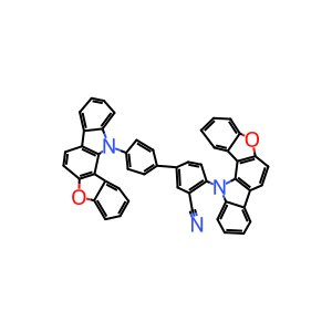 N#Cc1cc(-c2ccc(-n3c4ccccc4c4ccc5oc6ccccc6c5c43)cc2)ccc1-n1c2ccccc2c2ccc3oc4ccccc4c3c21